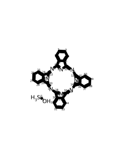 O[SiH3].c1ccc2c(c1)-c1nc-2nc2[nH]c(nc3nc(nc4[nH]c(n1)c1ccccc41)-c1ccccc1-3)c1ccccc21